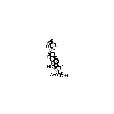 CC(=O)O[C@@H]([C@H]1C[C@@H](C)[C@H]2[C@H](O1)[C@H](O)[C@@]1(C)[C@@H]3CC[C@H]4C(C)(C)[C@@H](O[C@@H]5OCCN6C[C@H]5OCC6=O)CC[C@@]45C[C@@]35CC[C@]21C)C(C)(C)O